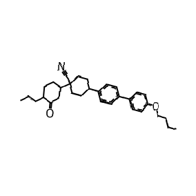 CCCCOc1ccc(-c2ccc(C3CCC(C#N)(C4CCC(CCC)C(=O)C4)CC3)cc2)cc1